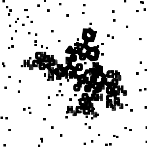 C[C@@H](c1cnn(C[C@@H]2[C@H](NC(=O)C(=NOC3(C(=O)OC(c4ccccc4)c4ccccc4)CC3)c3csc(NC(=O)OC(C)(C)C)n3)C(=O)N2S(=O)(=O)O)n1)N(CCCNC(=O)OC(C)(C)C)C(=O)OC(C)(C)C